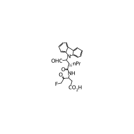 CCC[C@H](C(=O)NC(CC(=O)O)C(=O)CF)C(C=O)n1c2ccccc2c2ccccc21